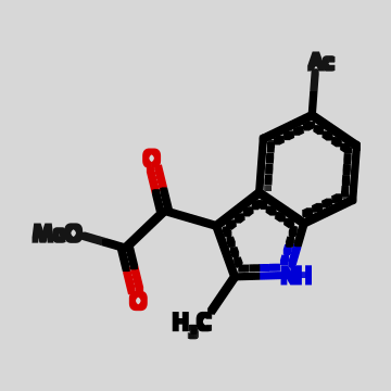 COC(=O)C(=O)c1c(C)[nH]c2ccc(C(C)=O)cc12